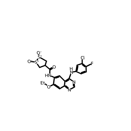 CCOc1cc2ncnc(Nc3ccc(F)c(Cl)c3)c2cc1NC(=O)C1C[S+]([O-])[S+]([O-])C1